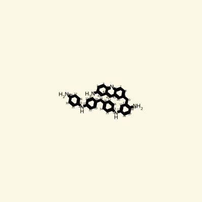 Nc1ccc2nc3ccc(Cc4cc(Nc5ccc(Cc6ccc(NC7=CCC(N)C=C7)cc6)cc5)ccc4N)cc3cc2c1